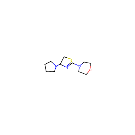 C1CCN(C2CSC(N3CCOCC3)=N2)C1